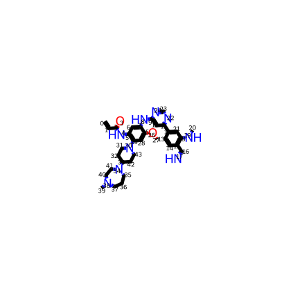 C=CC(=O)Nc1cc(Nc2cc(-c3ccc(C=N)c(NC)c3)ncn2)c(OC)cc1N1CCC(N2CCCN(C)CC2)CC1